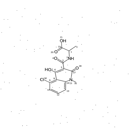 CC(NC(=O)c1c(O)c2c(Cl)cccc2n(C)c1=O)C(=O)O